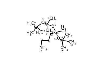 C[Si](C)(C)O[Si](C)(C)O[Si](C)(CCCN)O[Si](C)(C)C